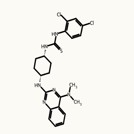 CN(C)c1nc(N[C@H]2CC[C@@H](NC(=S)Nc3ccc(Cl)cc3Cl)CC2)nc2ccccc12